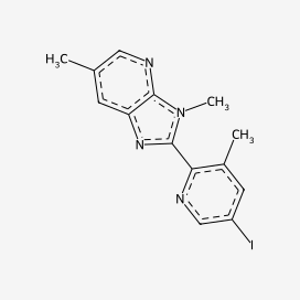 Cc1cnc2c(c1)nc(-c1ncc(I)cc1C)n2C